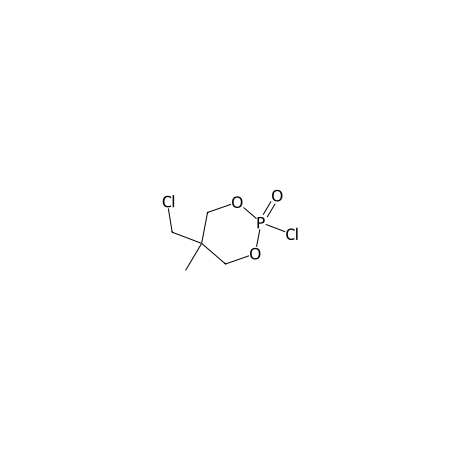 CC1(CCl)COP(=O)(Cl)OC1